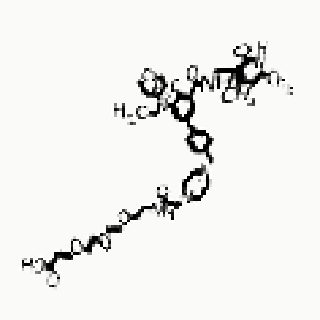 CCN(c1cc(-c2ccc(CN3CCN(CC(=O)NCCOCCOCCOCCC(=O)O)CC3)cc2)cc(C(=O)NCc2c(C)cc(C)[nH]c2=O)c1C)C1CCOCC1